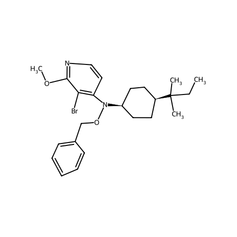 CCC(C)(C)[C@H]1CC[C@@H](N(OCc2ccccc2)c2ccnc(OC)c2Br)CC1